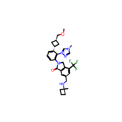 COC[C@H]1C[C@H](c2cccc(N3Cc4c(cc(CNC5(C)CCC5)cc4C(F)(F)F)C3=O)c2-[n+]2cn(C)cn2)C1